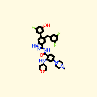 CN1CCN(c2ccc(C(=O)Nc3n[nH]c4cc(-c5cc(O)cc(F)c5)c(Cc5cc(F)cc(F)c5)cc34)c(NC3CCOCC3)c2)CC1